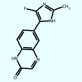 Cc1nc(F)c(-c2ccc3[nH]c(=O)cnc3c2)[nH]1